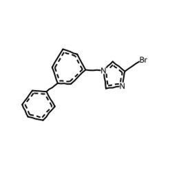 Brc1cn(-c2cccc(-c3ccccc3)c2)cn1